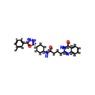 Cc1cccc(-c2nnc([C@H]3CC[C@H](NC(=O)CCCc4nc5ccccc5c(=O)[nH]4)CC3)o2)c1